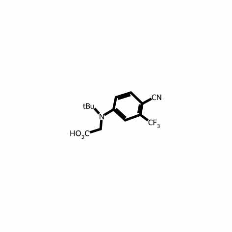 CC(C)(C)N(CC(=O)O)c1ccc(C#N)c(C(F)(F)F)c1